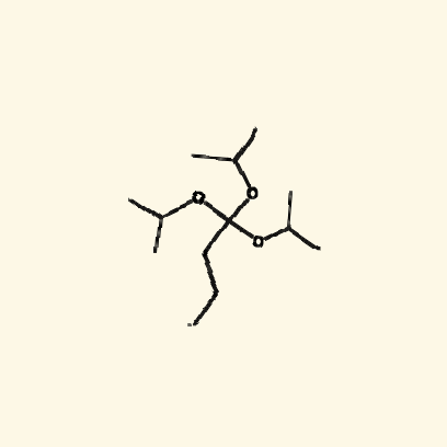 [CH2]CCC(OC(C)C)(OC(C)C)OC(C)C